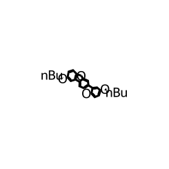 CCCCOc1ccc2oc3cc4c(cc3c2c1)oc1ccc(OCCCC)cc14